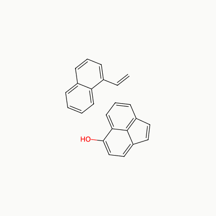 C=Cc1cccc2ccccc12.Oc1ccc2c3c(cccc13)C=C2